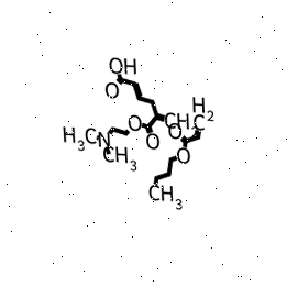 C=C(CC=CC(=O)O)C(=O)OCCN(C)C.C=CC(=O)OCCCC